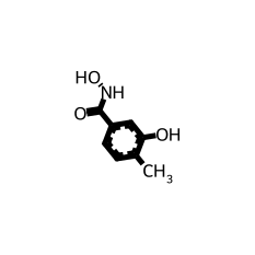 Cc1ccc(C(=O)NO)cc1O